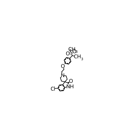 CC(c1ccc(OCCN2CCC3(CC2)C(=O)Nc2ccc(Cl)cc23)cc1)S(C)(=O)=O